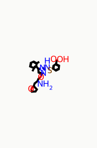 Cc1cccc(C)c1-c1cc(OCC(N)CC2CCCO2)nc(NSc2cccc(C(=O)O)c2)n1